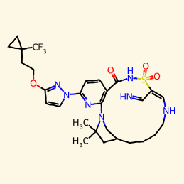 CC1(C)CC2CCCCN/C=C(\C=N)S(=O)(=O)NC(=O)c3ccc(-n4ccc(OCCC5(C(F)(F)F)CC5)n4)nc3N1C2